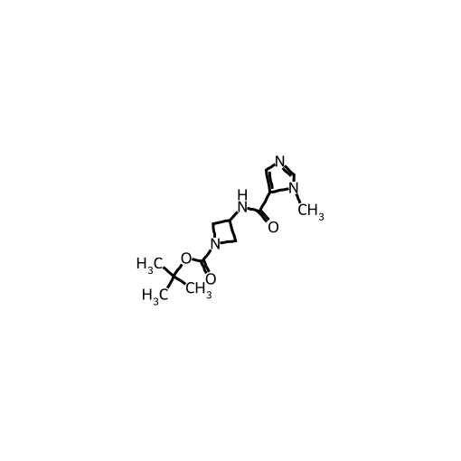 Cn1cncc1C(=O)NC1CN(C(=O)OC(C)(C)C)C1